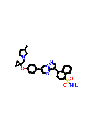 CC1CCN(CC2(Oc3ccc(-c4cnc5c(-c6ccc(S(N)(=O)=O)c7ccccc67)cnn5c4)cc3)CC2)C1